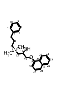 C[N+](C)(CCCc1ccccc1)CC(O)COc1cccc2ccccc12